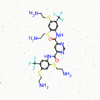 NCCSc1cc(SCCN)c(C(F)(F)F)cc1NC(=O)c1cc(C(=O)Nc2cc(C(F)(F)F)c(SCCN)cc2SCCN)ncn1